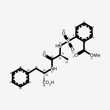 COC(=O)c1ccccc1S(=O)(=O)N[C@@H](C)C(=O)N[C@@H](Cc1ccccc1)C(=O)O